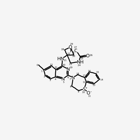 Cc1ccc2nc(N3CC[S+]([O-])c4ccccc4C3)nc(NC3(CNC(=O)C(F)(F)F)COC3)c2c1